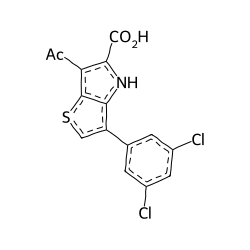 CC(=O)c1c(C(=O)O)[nH]c2c(-c3cc(Cl)cc(Cl)c3)csc12